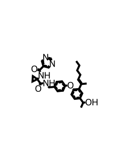 CCCC/C=C(\C)c1cc(C(C)O)ccc1Oc1ccc(CNC(=O)C2(NC(=O)c3cncnc3)CC2)cc1